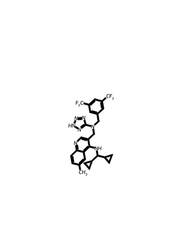 Cc1ccc2ncc(CN(Cc3cc(C(F)(F)F)cc(C(F)(F)F)c3)c3nn[nH]n3)c(NC(C3CC3)C3CC3)c2c1